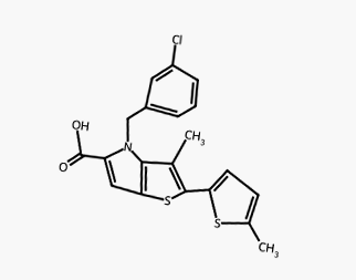 Cc1ccc(-c2sc3cc(C(=O)O)n(Cc4cccc(Cl)c4)c3c2C)s1